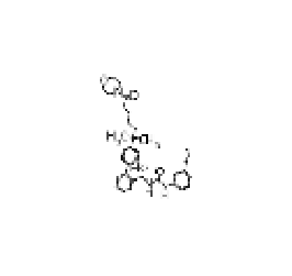 CC(C)(CCCCC(=O)N1CCOCC1)c1ccc(-c2ccccc2CNC(=O)Nc2cccc(C#N)c2)c(O)c1